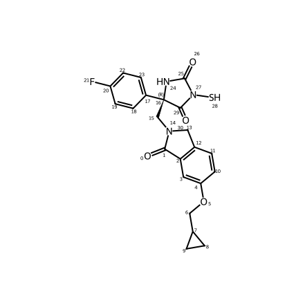 O=C1c2cc(OCC3CC3)ccc2CN1C[C@@]1(c2ccc(F)cc2)NC(=O)N(S)C1=O